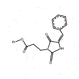 CC(C)OC(=O)CCN1C(=O)N/C(=C/c2ccccc2)C1=O